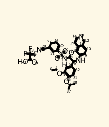 CCOc1cc(C(Nc2ccc3cnccc3c2)C(=O)NS(=O)(=O)c2cccc(C#N)c2)ccc1OC(C)C.O=C(O)C(F)(F)F